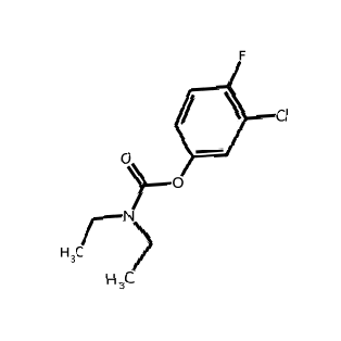 CCN(CC)C(=O)Oc1ccc(F)c(Cl)c1